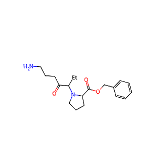 CCC(C(=O)CCCN)N1CCCC1C(=O)OCc1ccccc1